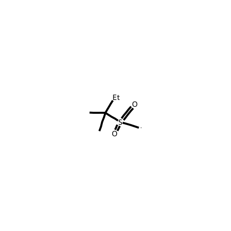 [CH2]S(=O)(=O)C(C)(C)CC